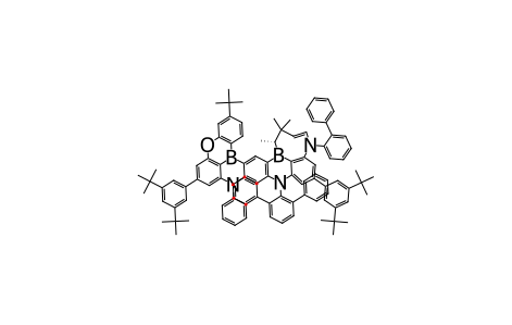 C[C@H]1B2c3cc4c(cc3N(c3c(-c5ccccc5)cccc3-c3ccccc3)c3cc(-c5cc(C(C)(C)C)cc(C(C)(C)C)c5)cc(c32)N(c2ccccc2-c2ccccc2)/C=C/C1(C)C)N(c1ccccc1)c1cc(-c2cc(C(C)(C)C)cc(C(C)(C)C)c2)cc2c1B4c1ccc(C(C)(C)C)cc1O2